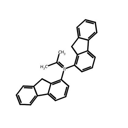 C[C](C)=[Ti]([c]1cccc2c1Cc1ccccc1-2)[c]1cccc2c1Cc1ccccc1-2